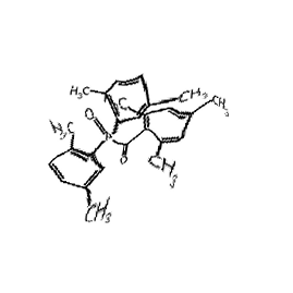 Cc1cc(C)c(C(=O)P(=O)(c2cc(C)ccc2C)c2cc(C)ccc2C)c(C)c1